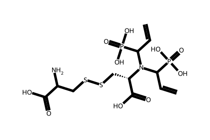 C=CC(N(C(C=C)P(=O)(O)O)[C@@H](CSSCC(N)C(=O)O)C(=O)O)P(=O)(O)O